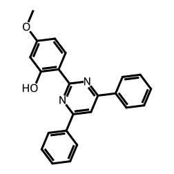 COc1ccc(-c2nc(-c3ccccc3)cc(-c3ccccc3)n2)c(O)c1